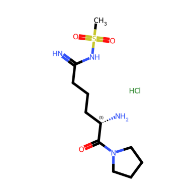 CS(=O)(=O)NC(=N)CCC[C@H](N)C(=O)N1CCCC1.Cl